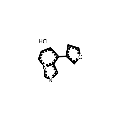 Cl.c1cc(-c2ccoc2)c2cncn2c1